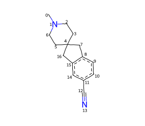 CN1CCC2(CC1)Cc1ccc(C#N)cc1C2